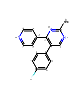 CC(C)(C)c1ncc(-c2ccc(F)cc2)c(-c2ccncc2)n1